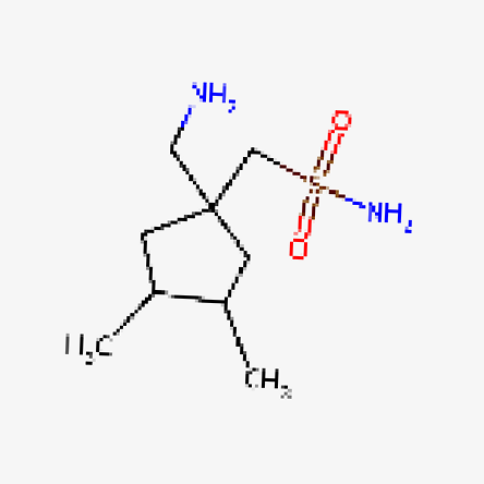 CC1CC(CN)(CS(N)(=O)=O)CC1C